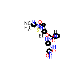 CCc1cc(N2C(=S)N(c3cnc(C#N)c(C(F)(F)F)c3)C(=O)C23CCC3)ccc1OCC[C@H]1CC2CC[C@H](C1)N2CC(=O)Nc1cccc(NC2CCC(=O)NC2=O)c1